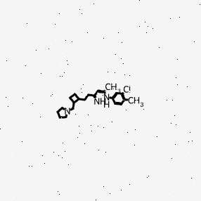 C/C(=C/C(=N)CCC1CCC1CN1CCCC1)Nc1ccc(C)c(Cl)c1